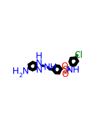 Nc1ccc2[nH]c(NCc3ccc(S(=O)(=O)Nc4ccc(Cl)cc4)cc3)nc2c1